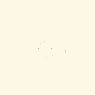 C[CH][C@@H](C)OC(=O)O[C@H](C)C(C)C